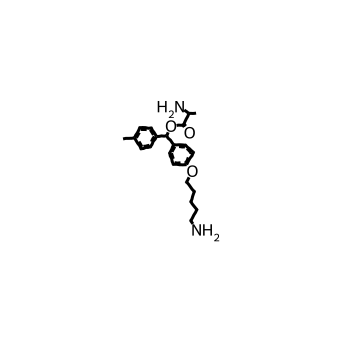 Cc1ccc(C(OC(=O)C(C)N)c2ccc(OCCCCCN)cc2)cc1